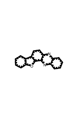 c1ccc2nc3c(ccc4c5ccccc5oc43)nc2c1